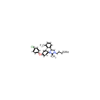 C=C1N(CCCSC)C[C@H](c2cccc(C(F)(F)F)c2)N1c1ccc(Oc2ccc(Cl)cc2)cc1